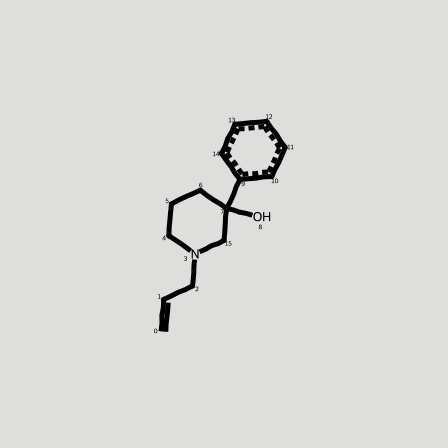 C=CCN1CCCC(O)(c2ccccc2)C1